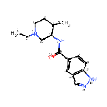 CCN1CCC(C)[C@@H](NC(=O)c2ccc3[nH]ncc3c2)C1